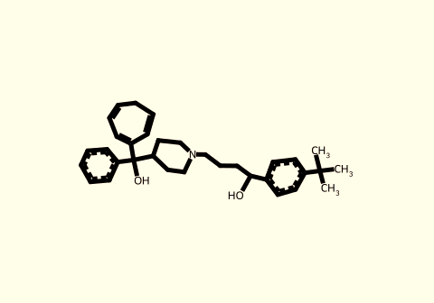 CC(C)(C)c1ccc(C(O)CCCN2CCC(C(O)(C3=CC=CCC=C3)c3ccccc3)CC2)cc1